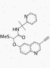 C#Cc1cnc2ccc(OC(SC)C(=O)NC(C)(C)c3ccccn3)cc2c1